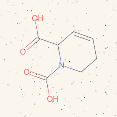 O=C(O)C1C=CCCN1C(=O)O